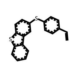 C=Cc1ccc(Sc2ccc3sc4ccccc4c3c2)cc1